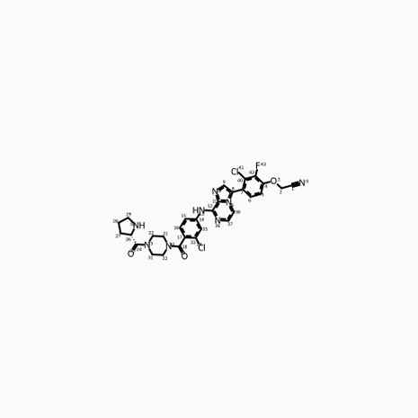 N#CCOc1ccc(-c2cnc3c(Nc4ccc(C(=O)N5CCN(C(=O)[C@@H]6CCCN6)CC5)c(Cl)c4)nccn23)c(Cl)c1F